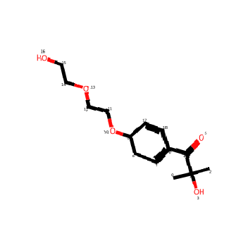 CC(C)(O)C(=O)C1=CCC(OCCOCCO)C=C1